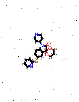 O=C1N(c2ccncc2)c2ccc(Sc3ccccn3)cc2C12OCCCO2